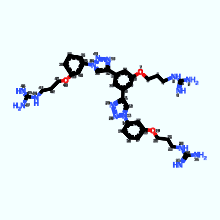 N=C(N)NCCCOc1cc(-c2cn(-c3cccc(OCCCNC(=N)N)c3)nn2)cc(-c2cn(-c3cccc(OCCCNC(=N)N)c3)nn2)c1